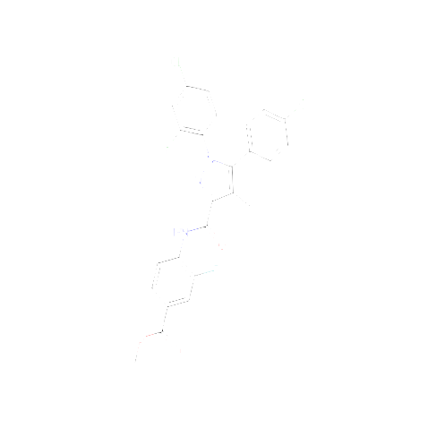 COC(=O)c1ccc(NC(=O)c2nn(-c3ccc(Cl)cc3Cl)c(-c3ccc(Cl)cc3)c2C)c(F)c1